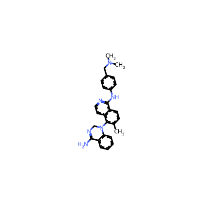 Cc1ccc2c(Nc3ccc(CN(C)C)cc3)nccc2c1N1CN=C(N)c2ccccc21